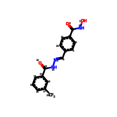 O=C(NO)c1ccc(/C=N/NC(=O)c2cccc(C(F)(F)F)c2)cc1